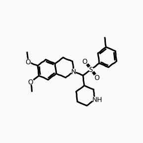 COc1cc2c(cc1OC)CN(C(C1CCCNC1)S(=O)(=O)c1cccc(C)c1)CC2